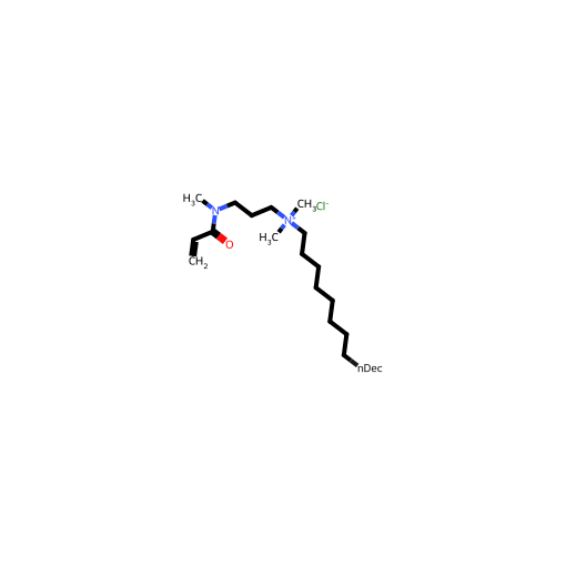 C=CC(=O)N(C)CCC[N+](C)(C)CCCCCCCCCCCCCCCCCC.[Cl-]